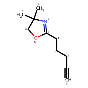 C#CCCCC1=NC(C)(C)CO1